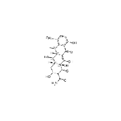 C#Cc1ccc(O)c2c1[C@H](C)[C@@H]1C(=C(O)[C@]3(O)C(=O)C(C(N)=O)C(O)C[C@@H]3[C@H]1O)C2=O